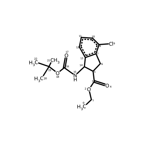 CCOC(=O)C1Cc2c(Cl)cccc2C1NC(=O)OC(C)(C)C